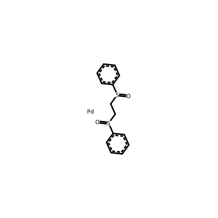 O=S(CCS(=O)c1ccccc1)c1ccccc1.[Pd]